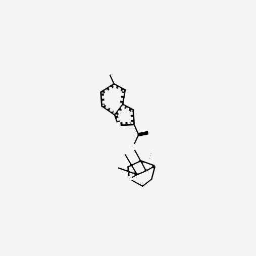 CC1(C)[C@@H](NC(=O)c2cc3cc(F)ccc3s2)C2CCN1CC2